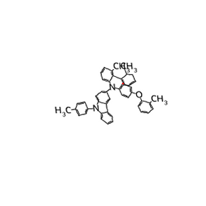 Cc1ccc(-n2c3ccccc3c3cc(N(c4ccc(Oc5ccccc5C)cc4)c4cccc(C)c4C4=CC=CCC4C)ccc32)cc1